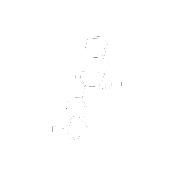 CCCC(Cc1ccccc1)(NC(=O)c1cnc2c(F)cccc2c1)C(F)(F)F